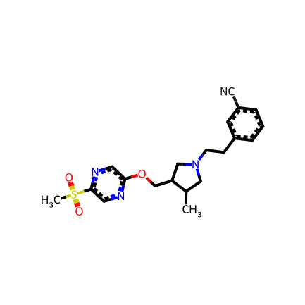 CC1CN(CCc2cccc(C#N)c2)CC1COc1cnc(S(C)(=O)=O)cn1